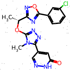 C[C@@H](Oc1nnc(-c2cn[nH]c(=O)c2)n1C)c1noc(-c2cccc(Cl)c2)n1